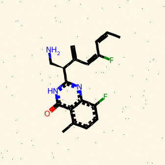 C=C(/C=C(F)\C=C/C)[C@H](CN)c1nc2c(F)ccc(C)c2c(=O)[nH]1